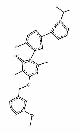 COc1cccc(COc2nc(C)n(-c3cc(-c4ccnc(C(C)C)n4)ccc3Cl)c(=O)c2C)c1